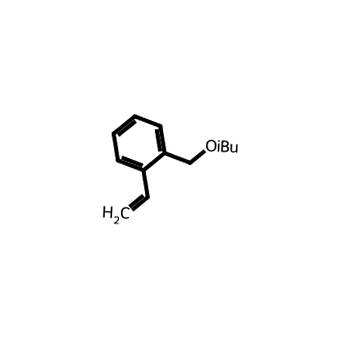 C=Cc1ccccc1COCC(C)C